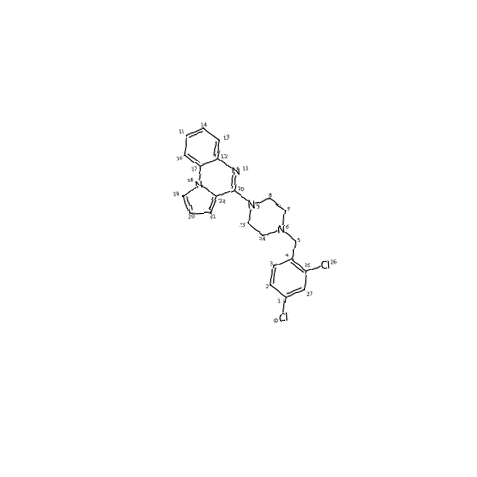 Clc1ccc(CN2CCN(c3nc4ccccc4n4cccc34)CC2)c(Cl)c1